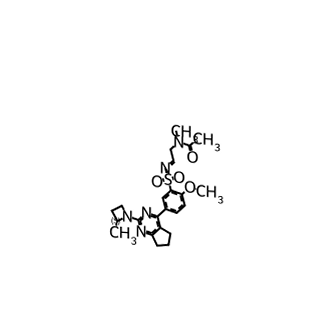 COc1ccc(-c2nc(N3CC[C@@H]3C)nc3c2CCC3)cc1S(=O)(=O)N=CCN(C)C(C)=O